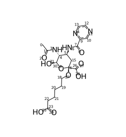 CC(=O)N[C@@H]1[C@@H](NC(=O)c2cnccn2)C[C@](OCCCCCC(=O)O)(C(=O)O)O[C@H]1O